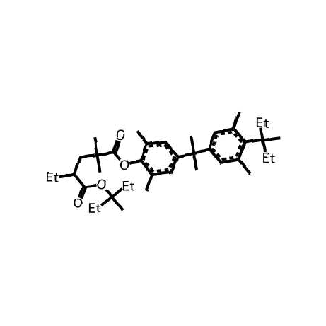 CCC(CC(C)(C)C(=O)Oc1c(C)cc(C(C)(C)c2cc(C)c(C(C)(CC)CC)c(C)c2)cc1C)C(=O)OC(C)(CC)CC